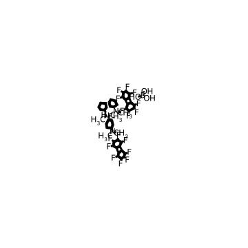 CN(C)c1ccccc1.CN(C)c1ccccc1.CN(C)c1ccccc1.Fc1c(F)c(F)c2c(c1F)-c1c(F)c(F)c(F)c(F)c1-2.Fc1c(F)c(F)c2c(c1F)-c1c(F)c(F)c(F)c(F)c1-2.OB(O)O